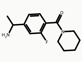 CC(N)c1ccc(C(=O)N2CCCCC2)c(F)c1